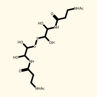 CC(=O)NCCC(=O)NC(O)C(O)SSC(O)C(O)NC(=O)CCNC(C)=O